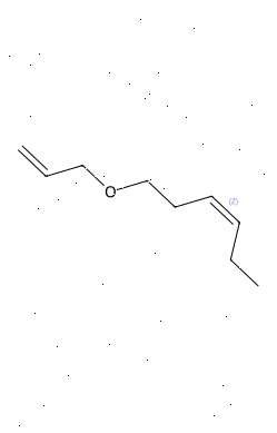 C=CCOCC/C=C\CC